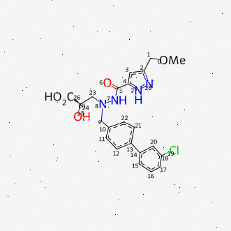 COCc1cc(C(=O)NN(Cc2ccc(-c3cccc(Cl)c3)cc2)C[C@@H](O)C(=O)O)[nH]n1